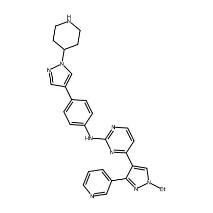 CCn1cc(-c2ccnc(Nc3ccc(-c4cnn(C5CCNCC5)c4)cc3)n2)c(-c2cccnc2)n1